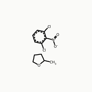 CC1CCCO1.O=[N+]([O-])c1c(Cl)cccc1Cl